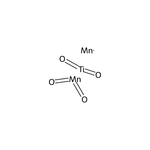 [Mn].[O]=[Mn]=[O].[O]=[Ti]=[O]